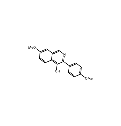 COc1ccc(-c2ncc3cc(OC)ccc3c2O)cc1